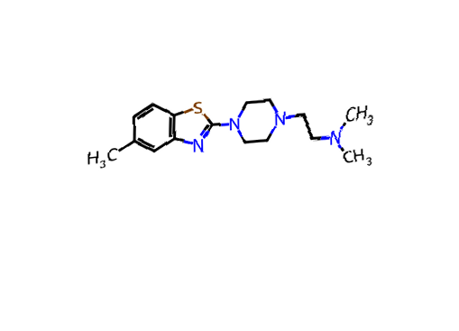 Cc1ccc2sc(N3CCN(CCN(C)C)CC3)nc2c1